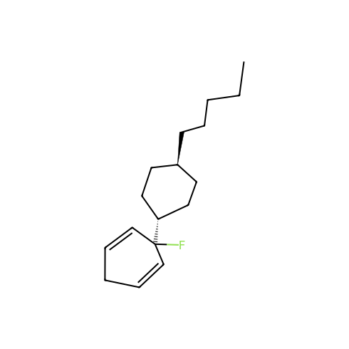 CCCCC[C@H]1CC[C@H](C2(F)C=CCC=C2)CC1